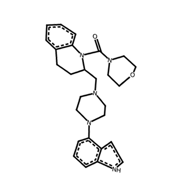 O=C(N1CCOCC1)N1c2ccccc2CCC1CN1CCN(c2cccc3[nH]ccc23)CC1